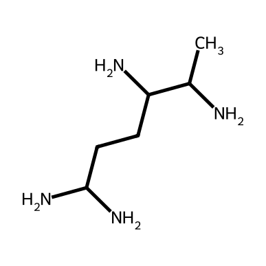 CC(N)C(N)CCC(N)N